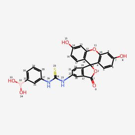 O=C1OC2(c3ccc(O)cc3Oc3cc(O)ccc32)c2ccc(NC(=S)Nc3cccc(B(O)O)c3)cc21